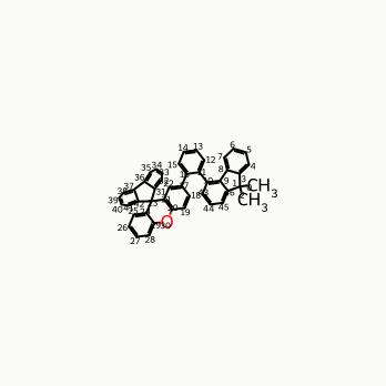 CC1(C)c2ccccc2-c2c(-c3ccccc3-c3ccc4c(c3)C3(c5ccccc5O4)c4ccccc4-c4ccccc43)cccc21